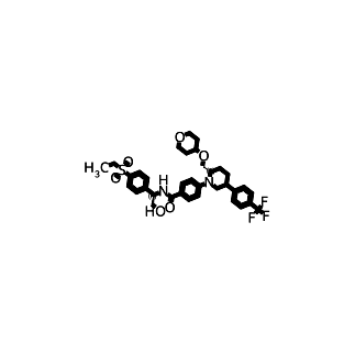 CCS(=O)(=O)c1ccc([C@H](CO)NC(=O)c2ccc(N3CC(c4ccc(C(F)(F)F)cc4)CC[C@H]3COC3CCOCC3)cc2)cc1